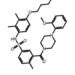 CCCCOc1ccc(NS(=O)(=O)c2ccc(C)c(C(=O)N3CCN(c4ccccc4OC)CC3)c2)c(C)c1C